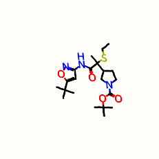 CCSC(C)(C(=O)Nc1cc(C(C)(C)C)on1)C1CCN(C(=O)OC(C)(C)C)C1